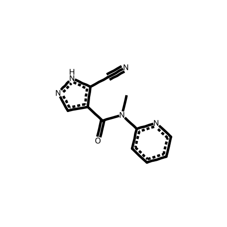 CN(C(=O)c1cn[nH]c1C#N)c1ccccn1